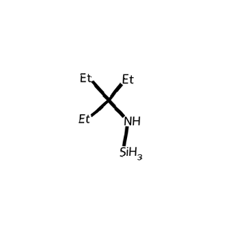 CCC(CC)(CC)N[SiH3]